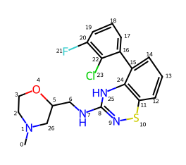 CN1CCOC(CNC2=NSc3cccc(-c4cccc(F)c4Cl)c3N2)C1